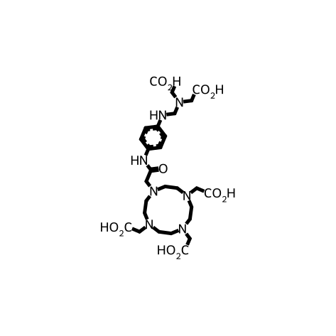 O=C(O)CN1CCN(CC(=O)O)CCN(CC(=O)Nc2ccc(NCN(CC(=O)O)CC(=O)O)cc2)CCN(CC(=O)O)CC1